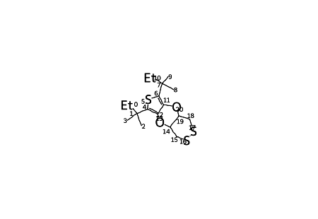 CCC(C)(C)c1sc(C(C)(C)CC)c2c1OC1CSSCC1O2